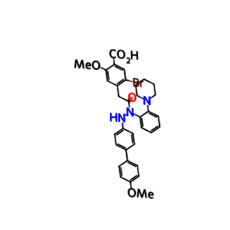 COc1ccc(-c2ccc(NN(C(=O)Cc3cc(OC)c(C(=O)O)cc3Br)c3ccccc3N3CCCCC3)cc2)cc1